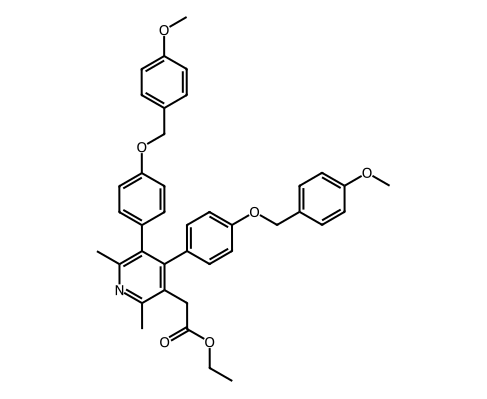 CCOC(=O)Cc1c(C)nc(C)c(-c2ccc(OCc3ccc(OC)cc3)cc2)c1-c1ccc(OCc2ccc(OC)cc2)cc1